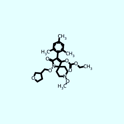 CCOC(=O)OC1=C(c2c(C)cc(C)cc2C)C(=O)N(OCC2CCOC2)C12CCN(OC)CC2